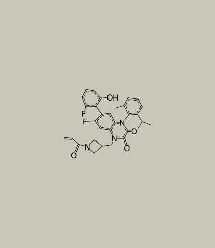 C=CC(=O)N1CC(Cn2c(=O)c(=O)n(-c3c(C)cccc3C(C)C)c3cc(-c4c(O)cccc4F)c(F)cc32)C1